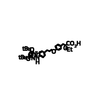 CCO[C@@H](Cc1ccc(OCCCc2ccc(N/C(=N/C(=O)OC(C)(C)C)NC(=O)OC(C)(C)C)cc2)cc1)C(=O)O